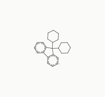 [c]1ccc2c(c1)C(C1CCCCC1)(C1CCCCC1)c1ccc[c]c1-2